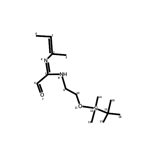 C/C=C(C)\N=C(\C=O)NCCO[Si](C)(C)C(C)(C)C